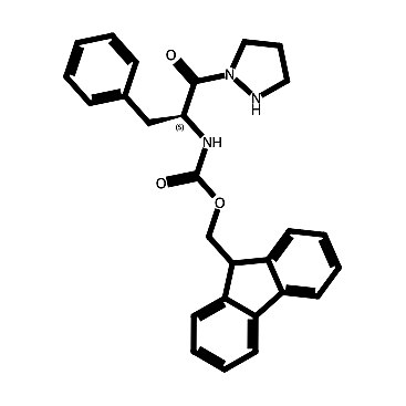 O=C(N[C@@H](Cc1ccccc1)C(=O)N1CCCN1)OCC1c2ccccc2-c2ccccc21